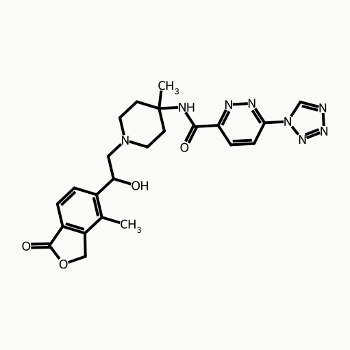 Cc1c(C(O)CN2CCC(C)(NC(=O)c3ccc(-n4cnnn4)nn3)CC2)ccc2c1COC2=O